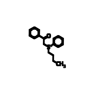 CCCC[S+](CC(=O)c1ccccc1)c1ccccc1